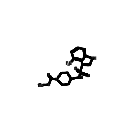 CC(C)(C)OC(=O)N1CCC(NS(=O)(=O)c2c[nH]c3cccc(C(F)(F)F)c23)CC1